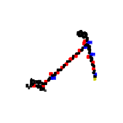 CC(=O)CC(C)(C)OCCC(C)(C)OCCOCCNC(=O)CCOCCOCCOCCOCCOCCOCCNC(=O)C(CCCCNC(=O)CCOCCOCCN=C=S)NC(=O)Cc1ccc2ccccc2c1